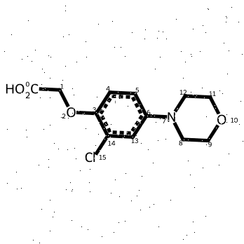 O=C(O)COc1ccc(N2CCOCC2)cc1Cl